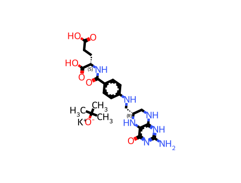 CC(C)(C)[O-].Nc1nc(=O)c2c([nH]1)NC[C@@H](CNc1ccc(C(=O)N[C@@H](CCC(=O)O)C(=O)O)cc1)N2.[K+]